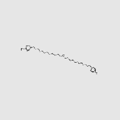 Fc1ccc(CCCCCCCCCCCCOCCCCCCCCCCCCc2ccc(F)cc2)cc1